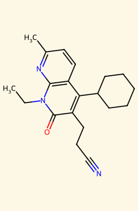 CCn1c(=O)c(CCC#N)c(C2CCCCC2)c2ccc(C)nc21